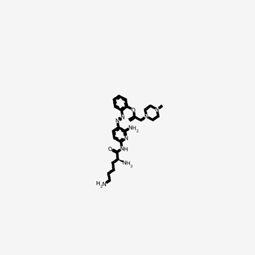 C=C(CN1CCN(C)CC1)Oc1ccccc1/N=N/c1ccc(NC(=O)[C@@H](N)CCCCN)nc1N